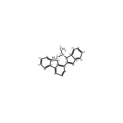 [CH3][Zr]([CH3])[CH]1C(c2cccc3c2Cc2ccccc2-3)=Cc2ccccc21